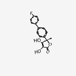 C[C@@]1(c2ccc(-c3ccc(F)cc3)cc2)OC(=O)C(O)=C1O